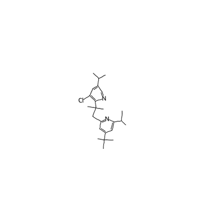 CC(C)c1cnc(C(C)(C)Cc2cc(C(C)(C)C)cc(C(C)C)n2)c(Cl)c1